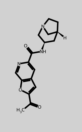 CC(=O)c1cc2cc(C(=O)N[C@@H]3C[C@H]4CCN(C4)C3)ncc2o1